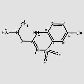 CN(C)CC1=NS(=O)(=O)c2cc(Cl)ccc2N1